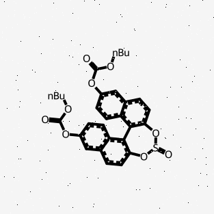 CCCCOC(=O)Oc1ccc2c3c(ccc2c1)OS(=O)Oc1ccc2cc(OC(=O)OCCCC)ccc2c1-3